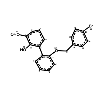 O=Cc1cccc(-c2ccccc2OCc2ccc(Br)cc2)c1O